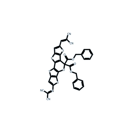 N#CC(C#N)=Cc1cc2sc3c(c2s1)C(C(=O)OCc1ccccc1)(C(=O)OCc1ccccc1)Oc1c-3sc2cc(N=C(C#N)C#N)sc12